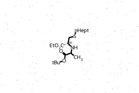 CCCCCCCSC[C@H](NC(C)C(=O)OC(C)(C)C)C(=O)OCC